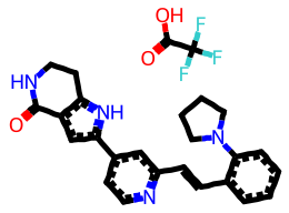 O=C(O)C(F)(F)F.O=C1NCCc2[nH]c(-c3ccnc(C=Cc4ccccc4N4CCCC4)c3)cc21